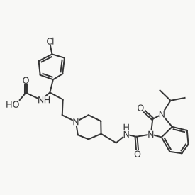 CC(C)n1c(=O)n(C(=O)NCC2CCN(CCC(NC(=O)O)c3ccc(Cl)cc3)CC2)c2ccccc21